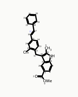 COC(=O)c1ccc2[nH]c(C)c(Cc3ccc(/C=C/c4ccccc4)cc3Cl)c2c1